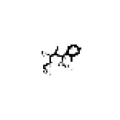 CCCC(C)C(=O)[C@@H](c1ccccc1F)N(C)C